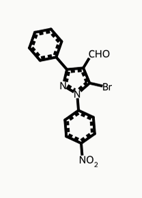 O=Cc1c(-c2ccccc2)nn(-c2ccc([N+](=O)[O-])cc2)c1Br